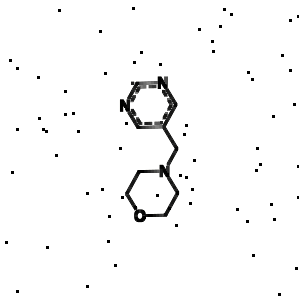 [c]1ncc(CN2CCOCC2)cn1